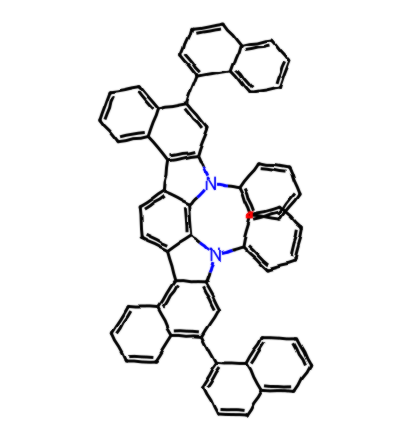 c1ccc(-n2c3cc(-c4cccc5ccccc45)c4ccccc4c3c3ccc4c5c6ccccc6c(-c6cccc7ccccc67)cc5n(-c5ccccc5)c4c32)cc1